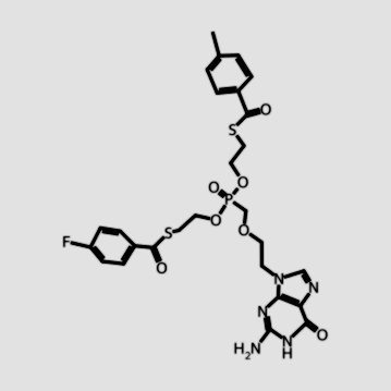 Cc1ccc(C(=O)SCCOP(=O)(COCCn2cnc3c(=O)[nH]c(N)nc32)OCCSC(=O)c2ccc(F)cc2)cc1